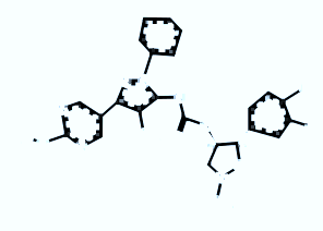 COc1ncc(-c2nn(-c3ccccc3)c(NC(=O)N[C@@H]3CN(C)O[C@H]3c3ccc(F)c(F)c3)c2C)cn1